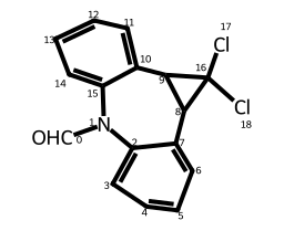 O=CN1c2ccccc2C2C(c3ccccc31)C2(Cl)Cl